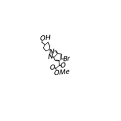 COC(=O)C(=O)c1cc2nn(C3CCC(CO)CC3)cc2cc1Br